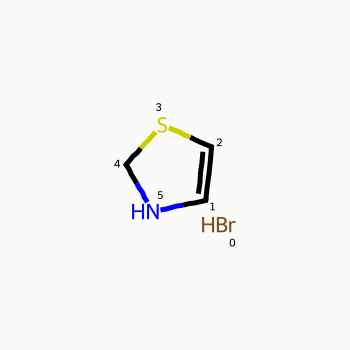 Br.C1=CSCN1